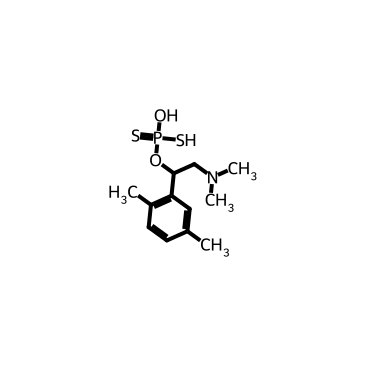 Cc1ccc(C)c(C(CN(C)C)OP(O)(=S)S)c1